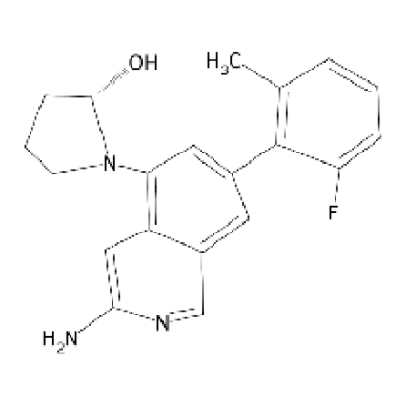 Cc1cccc(F)c1-c1cc(N2CCC[C@@H]2O)c2cc(N)ncc2c1